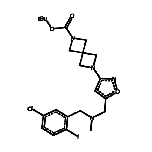 CN(Cc1cc(N2CC3(CN(C(=O)OC(C)(C)C)C3)C2)no1)Cc1cc(Cl)ccc1I